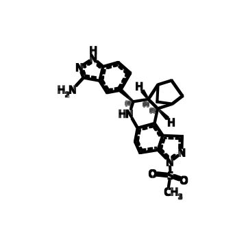 CS(=O)(=O)n1ncc2c3c(ccc21)N[C@@H](c1ccc2[nH]nc(N)c2c1)[C@@H]1C2CCC(C2)[C@H]31